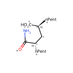 CCCCC[C@@H](C[C@H](CCCCC)C(=O)O)C(N)=O